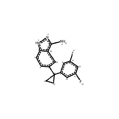 Nc1n[nH]c2ccc(C3(c4cc(F)cc(F)c4)CC3)cc12